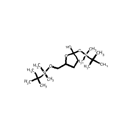 CC(C)(C)[Si](C)(C)OCC1CCC(O)(O[Si](C)(C)C(C)(C)C)O1